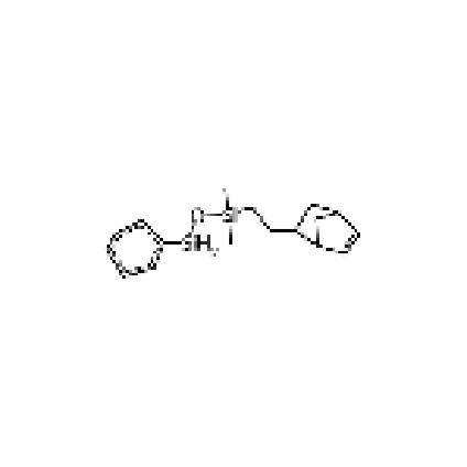 C[Si](C)(CCC1CC2C=CC1C2)O[SiH2]c1ccccc1